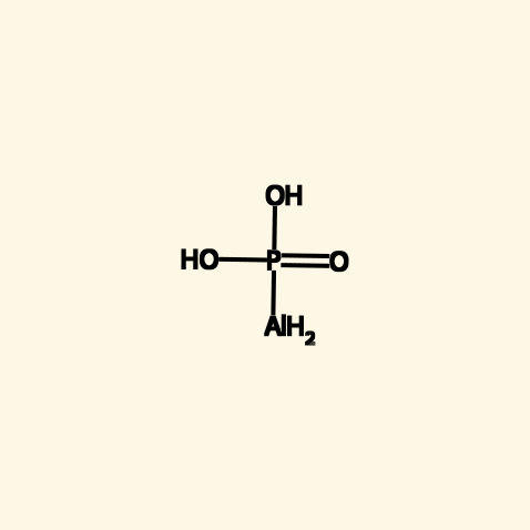 O=[P](O)(O)[AlH2]